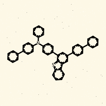 c1ccc(-c2ccc(-c3cc(-c4ccc(N(c5ccccc5)c5ccc(-c6ccccc6)cc5)cc4)c4sc5ccccc5c4c3)cc2)cc1